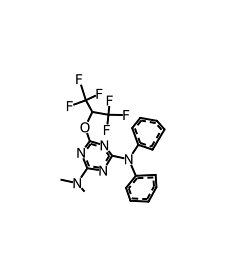 CN(C)c1nc(OC(C(F)(F)F)C(F)(F)F)nc(N(c2ccccc2)c2ccccc2)n1